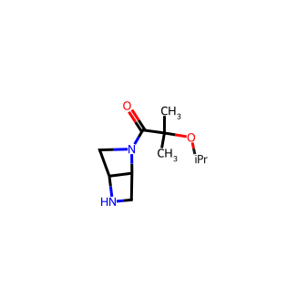 CC(C)OC(C)(C)C(=O)N1CC2NCC21